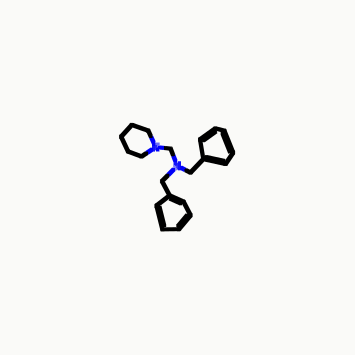 c1ccc(CN(Cc2ccccc2)CN2CCCCC2)cc1